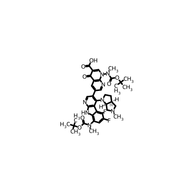 CN1C[C@@H]2CCN(c3c(-c4cnc5c(c4)c(=O)c(C(=O)O)cn5N(C)C(=O)OC(C)(C)C)cnc4[nH]c5c(N(C)C(=O)OC(C)(C)C)cc(F)c(F)c5c34)[C@@H]2C1